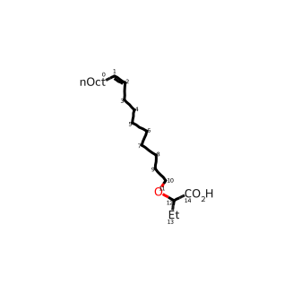 CCCCCCCC/C=C\CCCCCCCCOC(CC)C(=O)O